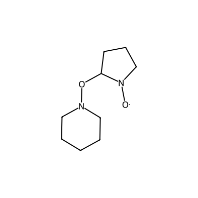 [O]N1CCCC1ON1CCCCC1